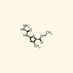 CCOC(=O)c1sc(NC(=O)NN)cc1C